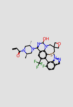 C=CC(=O)N1C[C@H](C)N(C2=NC(O)N3CC4(COC4)CSc4c(-c5c(F)ccc6cnn(C)c56)c(C(F)(F)F)cc2c43)C[C@H]1C